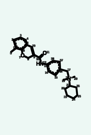 Cc1cccc2c1OCC(C(=O)Nc1ccc(C[N+](C)(C)C3CCCCC3)cc1)=C2